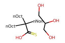 CCCCCCCCCC(CCCCCCCC)(CCCCCCCC)C(O)=S.OCC(O)CO